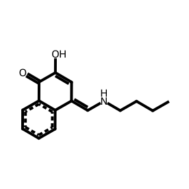 CCCCNC=C1C=C(O)C(=O)c2ccccc21